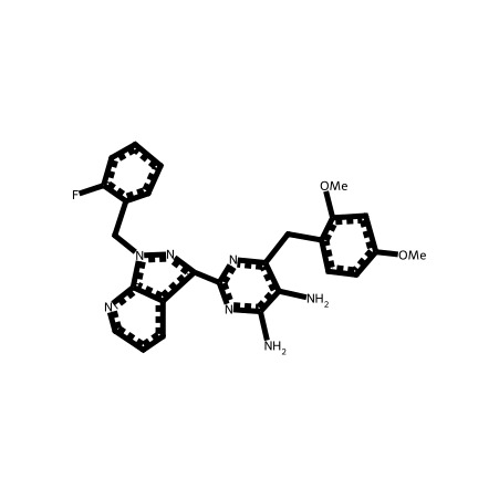 COc1ccc(Cc2nc(-c3nn(Cc4ccccc4F)c4ncccc34)nc(N)c2N)c(OC)c1